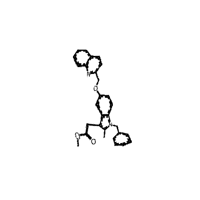 COC(=O)Cc1c(C)n(Cc2ccccc2)c2ccc(OCc3ccc4ccccc4n3)cc12